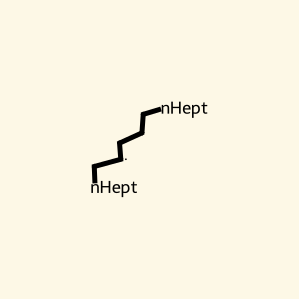 CCCCC[CH]CC[CH]CCCCCCCCCC